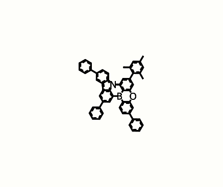 Cc1cc(C)c(-c2cc3c4c(c2)-n2c5ccc(-c6ccccc6)cc5c5cc(-c6ccccc6)cc(c52)B4c2ccc(-c4ccccc4)cc2O3)c(C)c1